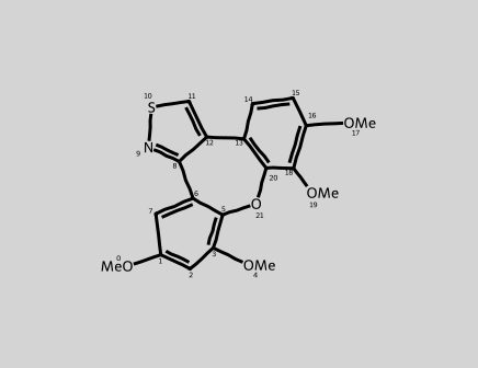 COc1cc(OC)c2c(c1)-c1nscc1-c1ccc(OC)c(OC)c1O2